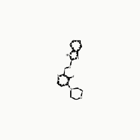 Fc1c(N2CCOCC2)ccnc1CSc1nc2ccccc2[nH]1